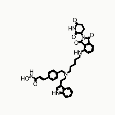 O=C(/C=C/c1ccc(CN(CCCCCNc2cccc3c2C(=O)N(C2CCC(=O)NC2=O)C3=O)CCc2c[nH]c3ccccc23)cc1)NO